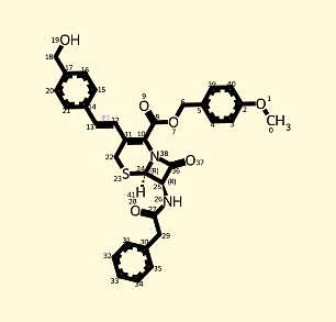 COc1ccc(COC(=O)C2=C(/C=C/c3ccc(CO)cc3)CS[C@@H]3[C@H](NC(=O)Cc4ccccc4)C(=O)N23)cc1